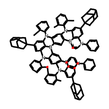 Cc1ccccc1N1c2cc3c(cc2B2c4cc5c(cc4N(c4ccccc4C)c4cc(C67CC8CC(CC(C8)C6)C7)cc1c42)N(c1c(C)cccc1C)c1cc(C24CC6CC(CC(C6)C2)C4)cc2c1B5c1ccccc1N2c1ccccc1)B1c2ccccc2N(c2ccccc2)c2cc(C45CC6CC(CC(C6)C4)C5)cc(c21)N3c1c(C)cccc1C